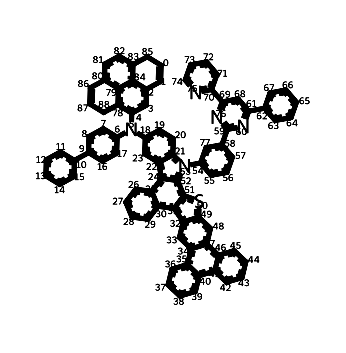 C1=Cc2cc(N(c3ccc(-c4ccccc4)cc3)c3ccc4c(c3)c3c5ccccc5c5c6cc7c8ccccc8c8ccccc8c7cc6sc5c3n4-c3cccc(-c4nc(-c5ccccc5)cc(-c5ccccn5)n4)c3)c3c4c(ccc(c24)C1)C=CC3